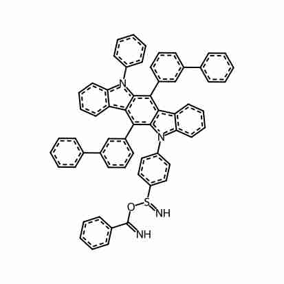 N=C(OS(=N)c1ccc(-n2c3ccccc3c3c(-c4cccc(-c5ccccc5)c4)c4c(c(-c5cccc(-c6ccccc6)c5)c32)c2ccccc2n4-c2ccccc2)cc1)c1ccccc1